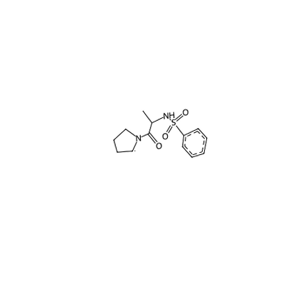 CC(NS(=O)(=O)c1ccccc1)C(=O)N1[CH]CCC1